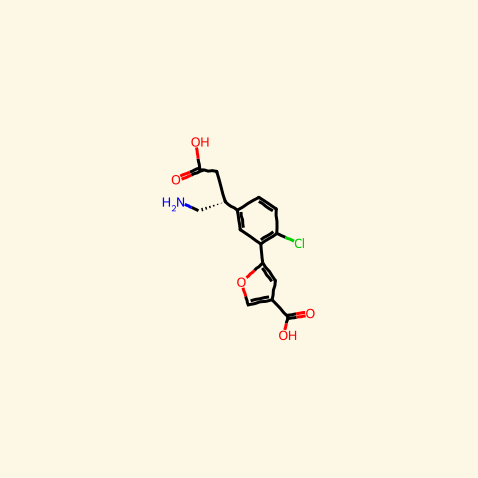 NC[C@H](CC(=O)O)c1ccc(Cl)c(-c2cc(C(=O)O)co2)c1